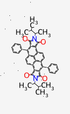 CC(C)C(C)n1c(=O)c2c(-c3ccccc3)c3ccc4c5c(=O)n(C(C)C(C)C)c(=O)c5c(-c5ccccc5)c5ccc(c2c1=O)c3c54